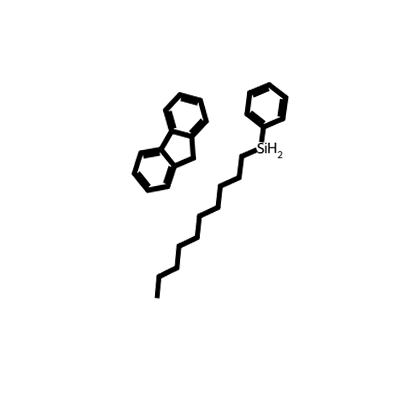 CCCCCCCCCC[SiH2]c1ccccc1.c1ccc2c(c1)Cc1ccccc1-2